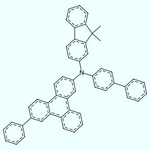 CC1(C)c2ccccc2-c2ccc(N(c3ccc(-c4ccccc4)cc3)c3ccc4c5ccc(-c6ccccc6)cc5c5ccccc5c4c3)cc21